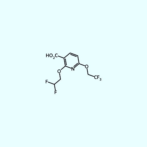 O=C(O)c1ccc(OCC(F)(F)F)nc1OCC(F)F